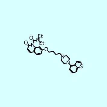 CCN(CC)C(=O)n1c(=O)ccc2ccc(OCCCCN3CCN(c4cccc5sccc45)CC3)cc21